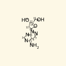 Nc1ncnc2c1cnn2[C@@H]1C[C@H](O)[C@@H](CO)O1